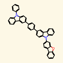 c1ccc(-n2c3ccccc3c3cc(-c4ccc(-c5ccc6c(c5)c5ccccc5n6-c5ccc6c(c5)oc5ccccc56)cc4)ccc32)cc1